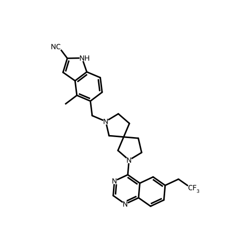 Cc1c(CN2CCC3(CCN(c4ncnc5ccc(CC(F)(F)F)cc45)C3)C2)ccc2[nH]c(C#N)cc12